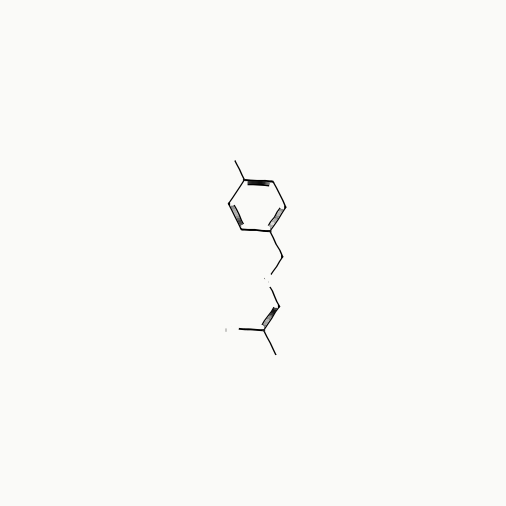 CCC/C(C)=C\NCc1ccc(CC)cc1